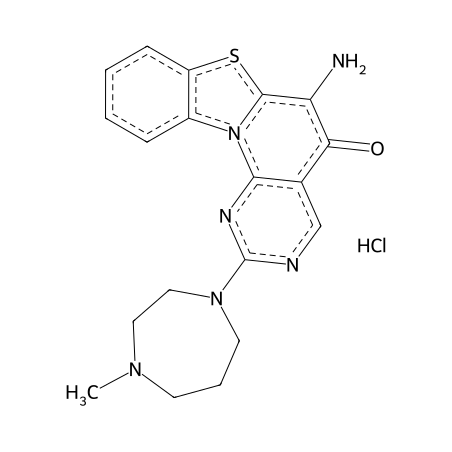 CN1CCCN(c2ncc3c(=O)c(N)c4sc5ccccc5n4c3n2)CC1.Cl